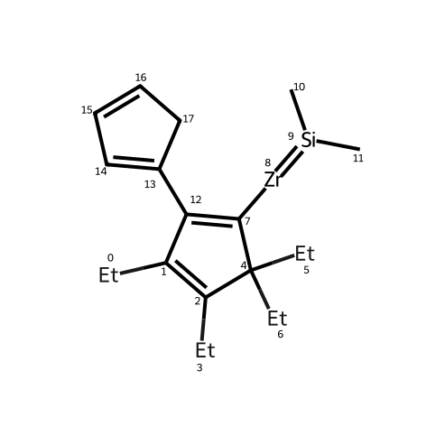 CCC1=C(CC)C(CC)(CC)[C]([Zr]=[Si](C)C)=C1C1=CC=CC1